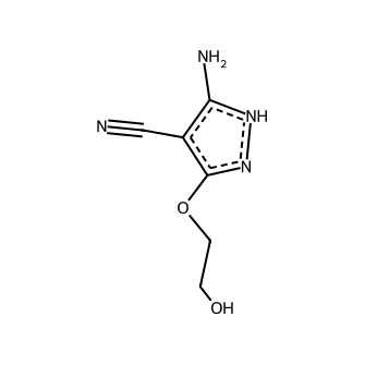 N#Cc1c(OCCO)n[nH]c1N